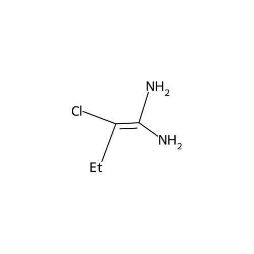 CCC(Cl)=C(N)N